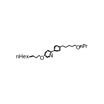 CCCCCCC=CCCOc1ccc(-c2ccc(CCCCCOCCC)cc2)nc1